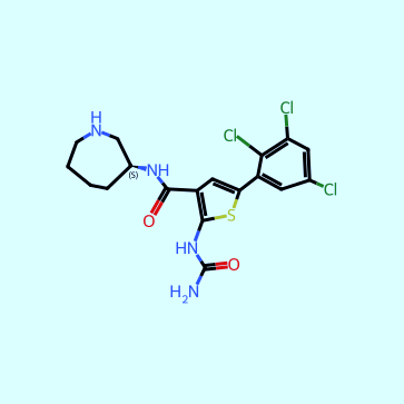 NC(=O)Nc1sc(-c2cc(Cl)cc(Cl)c2Cl)cc1C(=O)N[C@H]1CCCCNC1